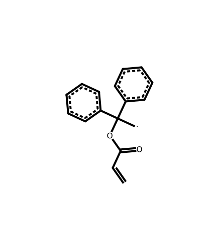 [CH2]C(OC(=O)C=C)(c1ccccc1)c1ccccc1